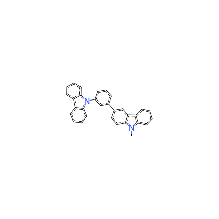 Cn1c2ccccc2c2cc(-c3cccc(-n4c5ccccc5c5ccccc54)c3)ccc21